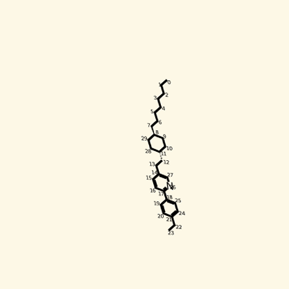 CCCCCCCC[C@H]1CC[C@H](CCc2ccc(-c3ccc(CC)cc3)nc2)CC1